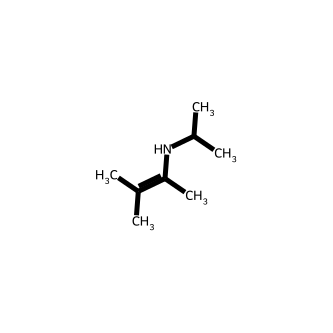 CC(C)=C(C)NC(C)C